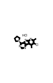 Cc1nc2sc3c(N4CCCC4)ncnc3c2c(C)c1Cl.Cl